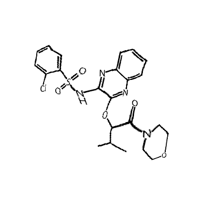 CC(C)C(Oc1nc2ccccc2nc1NS(=O)(=O)c1ccccc1Cl)C(=O)N1CCOCC1